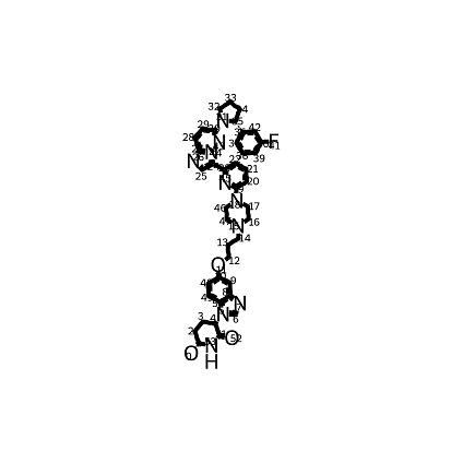 O=C1CCC(n2cnc3cc(OCCCN4CCN(c5cccc(-c6cnc7ccc(N8CCC[C@@H]8c8cccc(F)c8)nn67)n5)CC4)ccc32)C(=O)N1